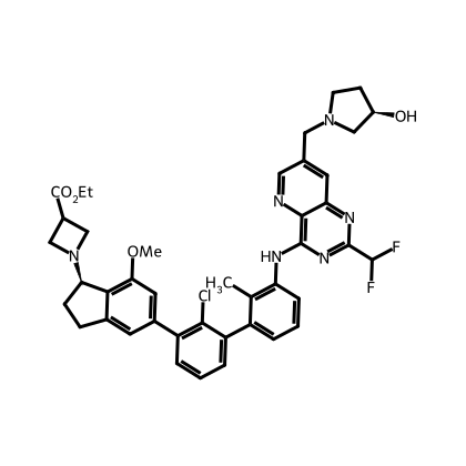 CCOC(=O)C1CN([C@@H]2CCc3cc(-c4cccc(-c5cccc(Nc6nc(C(F)F)nc7cc(CN8CC[C@@H](O)C8)cnc67)c5C)c4Cl)cc(OC)c32)C1